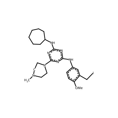 COc1ccc(Nc2nc(NC3CCCCCC3)nc(N3CCN(C)CC3)n2)cc1CI